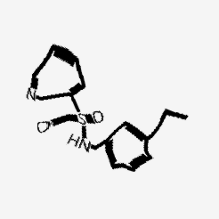 CCc1cccc(NS(=O)(=O)c2ccccn2)c1